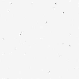 CC1CCOC(=O)c2ccc(cc2)C(=O)O1